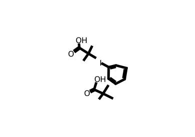 CC(C)(C)C(=O)O.CC(C)(C)C(=O)O.Ic1ccccc1